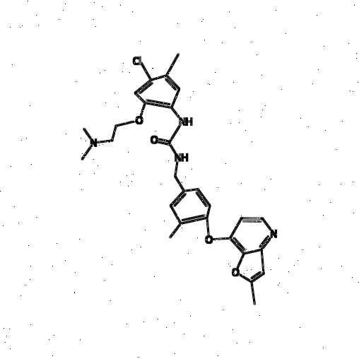 Cc1cc2nccc(Oc3ccc(CNC(=O)Nc4cc(C)c(Cl)cc4OCCN(C)C)cc3C)c2o1